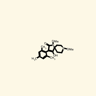 CON1CCC2(CC1)C(O)=C(c1c(C)cc(C)cc1C)C(=O)N2OC